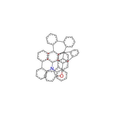 c1ccc(-c2ccccc2N(c2ccc3c(c2)C2(c4ccccc4-c4ccccc4-3)c3ccccc3-c3cc4oc5ccccc5c4cc32)c2ccccc2-c2ccccc2)cc1